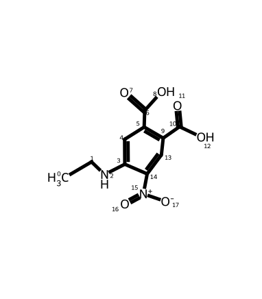 CCNc1cc(C(=O)O)c(C(=O)O)cc1[N+](=O)[O-]